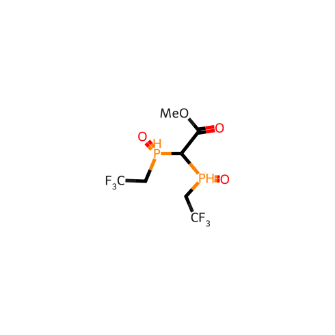 COC(=O)C([PH](=O)CC(F)(F)F)[PH](=O)CC(F)(F)F